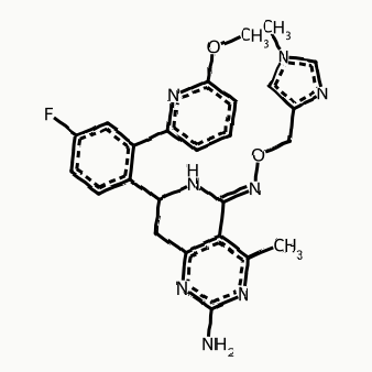 COc1cccc(-c2cc(F)ccc2C2Cc3nc(N)nc(C)c3C(=NOCc3cn(C)cn3)N2)n1